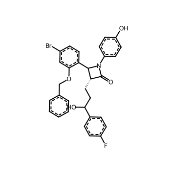 O=C1[C@H](CCC(O)c2ccc(F)cc2)C(c2ccc(Br)cc2OCc2ccccc2)N1c1ccc(O)cc1